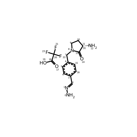 NN=Cc1ccc(CN2CC[C@H](N)C2=O)cc1.O=C(O)C(F)(F)F